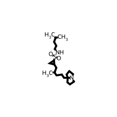 CC(C)CCCNS(=O)(=O)C1CC1C[C@H](C)CCCC12CCCN1CCC2